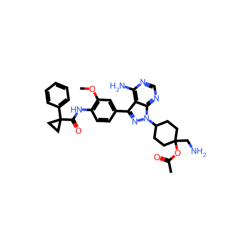 COc1cc(-c2nn(C3CCC(CN)(OC(C)=O)CC3)c3ncnc(N)c23)ccc1NC(=O)C1(c2ccccc2)CC1